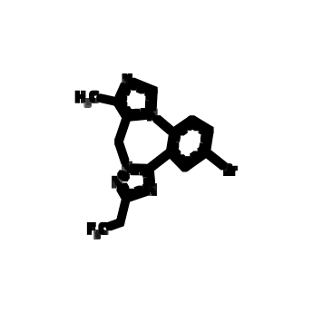 Cc1ncn2c1Cn1nc(CC(F)(F)F)nc1-c1cc(Br)ccc1-2